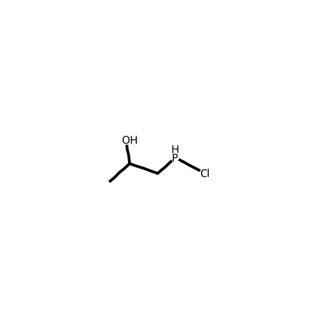 CC(O)CPCl